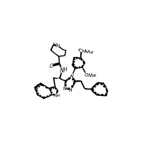 COc1ccc(-n2c(CCc3ccccc3)nnc2[C@@H](Cc2c[nH]c3ccccc23)NC(=O)C2CCNCC2)c(OC)c1